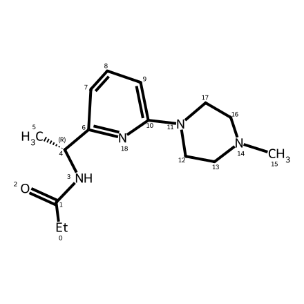 CCC(=O)N[C@H](C)c1cccc(N2CCN(C)CC2)n1